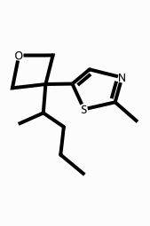 CCCC(C)C1(c2cnc(C)s2)COC1